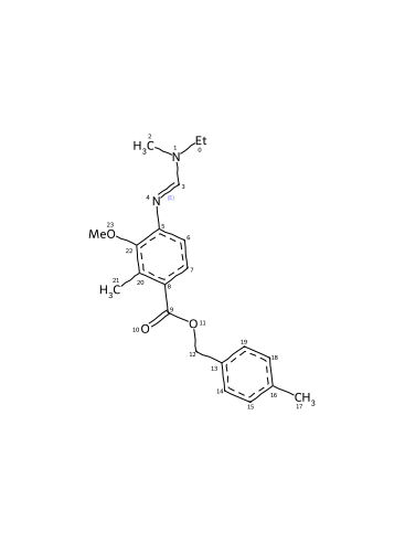 CCN(C)/C=N/c1ccc(C(=O)OCc2ccc(C)cc2)c(C)c1OC